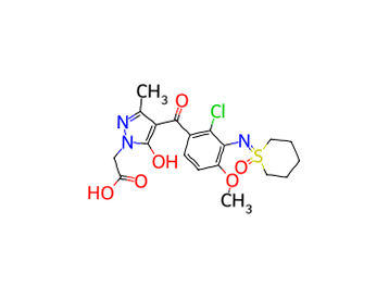 COc1ccc(C(=O)c2c(C)nn(CC(=O)O)c2O)c(Cl)c1N=S1(=O)CCCCC1